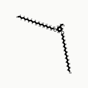 CCCCCCCCCCCCCCCCCCCCOc1cc(CC)cc(OCCCCCCCCCCCCCCCCCCCC)c1